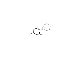 CC(=O)N1CCN(c2ccc(C(C)C)cc2F)CC1